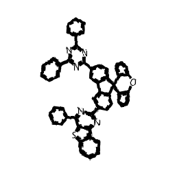 c1ccc(-c2nc(-c3ccccc3)nc(-c3ccc4c(c3)-c3cc(-c5nc(-c6ccccc6)c6sc7ccccc7c6n5)ccc3C43c4ccccc4Oc4ccccc43)n2)cc1